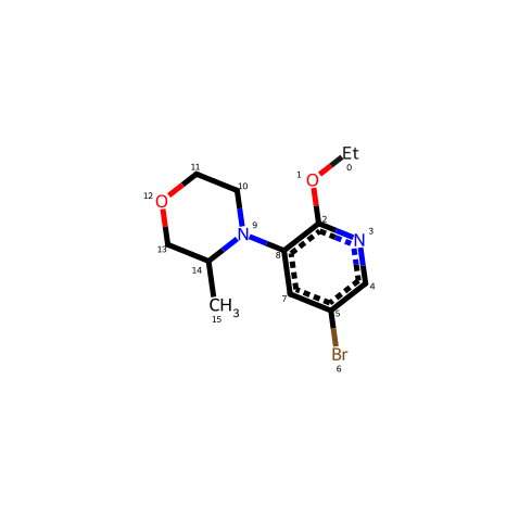 CCOc1ncc(Br)cc1N1CCOCC1C